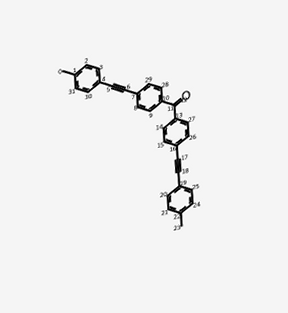 Cc1ccc(C#Cc2ccc(C(=O)c3ccc(C#Cc4ccc(C)cc4)cc3)cc2)cc1